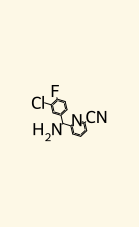 N#Cc1cccc([C@H](N)c2ccc(F)c(Cl)c2)n1